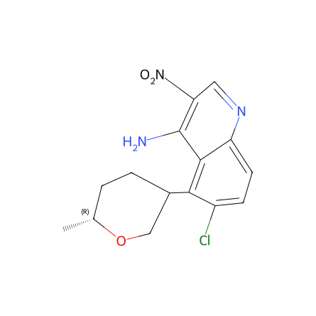 C[C@@H]1CCC(c2c(Cl)ccc3ncc([N+](=O)[O-])c(N)c23)CO1